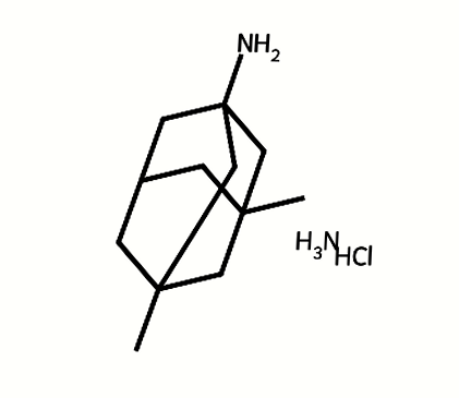 CC12CC3CC(C)(C1)CC(N)(C3)C2.Cl.N